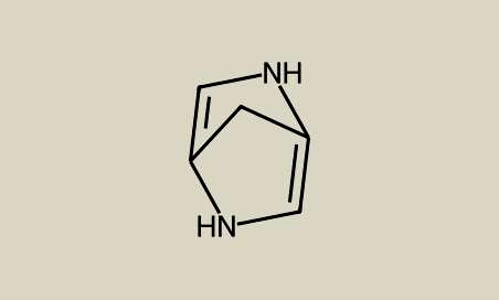 C1=C2CC(=CN2)N1